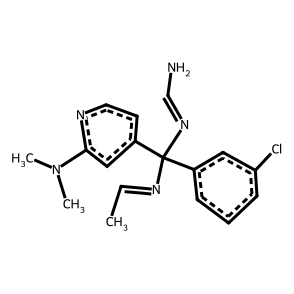 C/C=N/C(/N=C/N)(c1cccc(Cl)c1)c1ccnc(N(C)C)c1